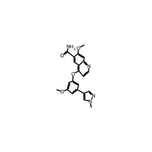 COc1cc(Oc2ccnc3cc(OC)c(C(N)=O)cc23)cc(-c2cnn(C)c2)c1